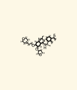 Cc1nc(N[C@H](C)c2cccc(C(F)F)c2F)c2cc(OC3CCOC3)c(OCCN3CCOCC3)cc2n1